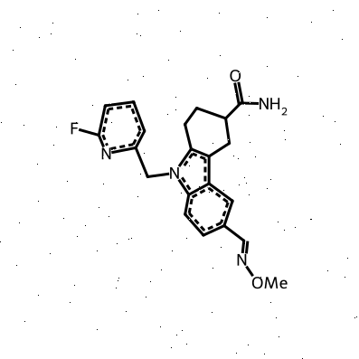 CON=Cc1ccc2c(c1)c1c(n2Cc2cccc(F)n2)CCC(C(N)=O)C1